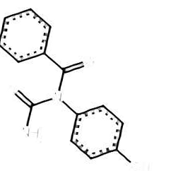 NC(=S)N(C(=O)c1ccccc1)c1ccc(O)cc1